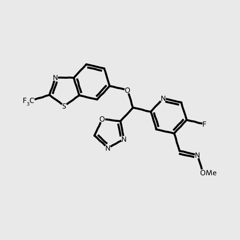 CO/N=C/c1cc(C(Oc2ccc3nc(C(F)(F)F)sc3c2)c2nnco2)ncc1F